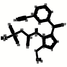 CCc1ccc(C(=O)c2cccc(C#N)c2)n1NC(=O)CS(C)(=O)=O